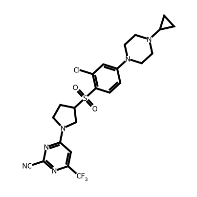 N#Cc1nc(N2CCC(S(=O)(=O)c3ccc(N4CCN(C5CC5)CC4)cc3Cl)C2)cc(C(F)(F)F)n1